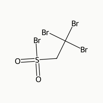 O=S(=O)(Br)CC(Br)(Br)Br